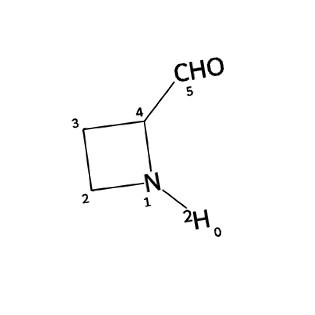 [2H]N1CCC1C=O